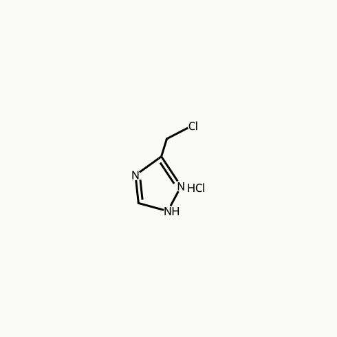 Cl.ClCc1nc[nH]n1